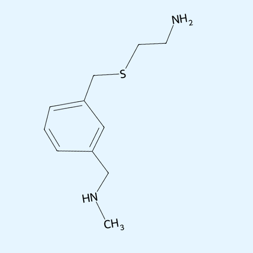 CNCc1cccc(CSCCN)c1